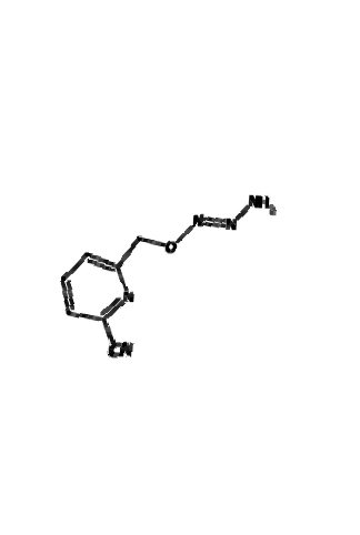 N#Cc1cccc(CON=NN)n1